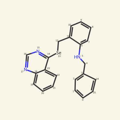 c1ccc(CNc2ccccc2C[Se]c2ncnc3ccccc23)cc1